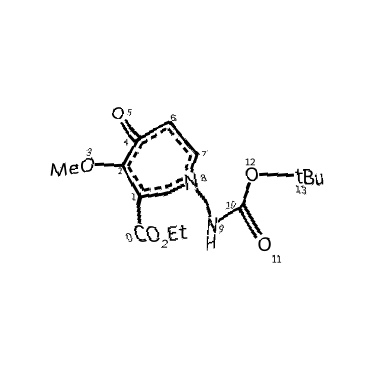 CCOC(=O)c1c(OC)c(=O)ccn1NC(=O)OC(C)(C)C